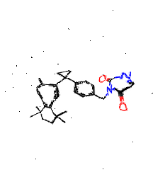 Cc1cc2c(cc1C1(c3ccc(CN4C(=O)C=NC4=O)cc3)CC1)C(C)(C)CCC2(C)C